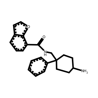 NC1CCC(CNC(=O)c2cccc3ccoc23)(c2ccccc2)CC1